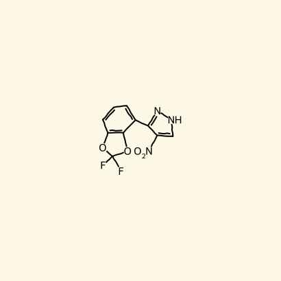 O=[N+]([O-])c1c[nH]nc1-c1cccc2c1OC(F)(F)O2